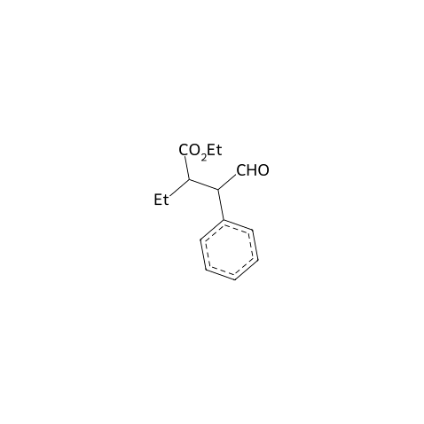 CCOC(=O)C(CC)C(C=O)c1ccccc1